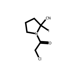 N#CC1(I)CCCN1C(=O)CCl